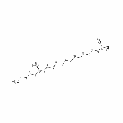 CCCCC[C@@H](O)C=CC=CCCCCCCCCCC(=O)O